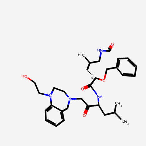 CC(C)CC(NC(=O)[C@H](CC(C)CNC=O)OCc1ccccc1)C(=O)CN1CCN(CCO)c2ccccc2C1